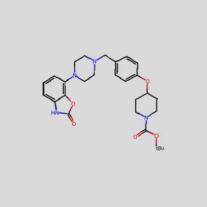 CC(C)(C)OC(=O)N1CCC(Oc2ccc(CN3CCN(c4cccc5[nH]c(=O)oc45)CC3)cc2)CC1